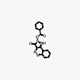 O=C(On1[nH]c2c(nnc3ccccc32)c1=O)c1ccccc1